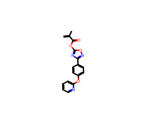 C=C(C)C(=O)Oc1nc(-c2ccc(Oc3ccccn3)cc2)no1